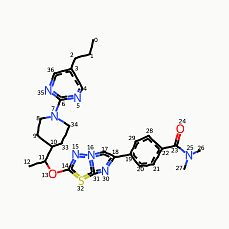 CCCc1cnc(N2CCC(C(C)Oc3nn4cc(-c5ccc(C(=O)N(C)C)cc5)nc4s3)CC2)nc1